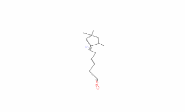 CC1CC(C)(C)C/C1=C/CCCCC=O